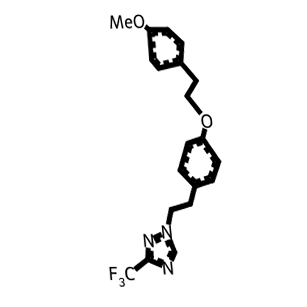 COc1ccc(CCOc2ccc(CCn3cnc(C(F)(F)F)n3)cc2)cc1